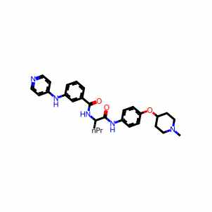 CCCC(NC(=O)c1cccc(Nc2ccncc2)c1)C(=O)Nc1ccc(OC2CCN(C)CC2)cc1